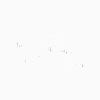 N#CCC(=O)N[C@@H]1C(=O)N2CC(Sc3ccccc3C#N)(C(=O)O)CS[C@H]12